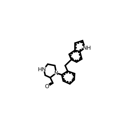 O=CC1CNCCN1c1ccccc1Cc1ccc2[nH]ccc2c1